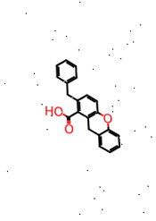 O=C(O)c1c(Cc2ccccc2)ccc2c1Cc1ccccc1O2